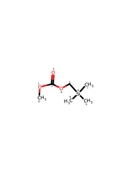 COC(=O)OC[Si](C)(C)C